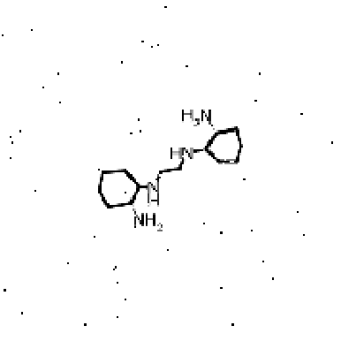 N[C@@H]1CCCC[C@H]1NCCN[C@@H]1CCCC[C@H]1N